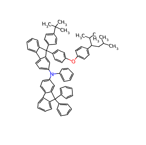 CC(C)CC(c1ccc(Oc2ccc(C3(c4ccc(C(C)(C)C)cc4)c4ccccc4-c4ccc(N(c5ccccc5)c5ccc6c(c5)C(c5ccccc5)(c5ccccc5)c5ccccc5-6)cc43)cc2)cc1)C(C)C